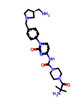 CC(C)(N)C(=O)N1CCN(C(=O)Nc2ccn(-c3ccc(CN4CC[C@@H](CN)C4)cc3)c(=O)n2)CC1